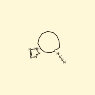 C1CCCCCCCCCCC1.[N].[N].[N].[N].n1nn[nH]n1